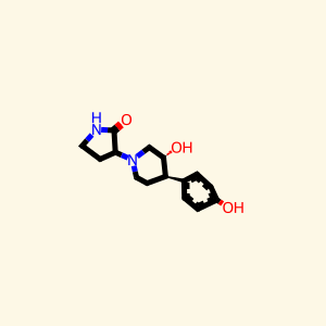 O=C1NCCC1N1CC[C@H](c2ccc(O)cc2)[C@@H](O)C1